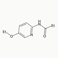 CCOc1ccc(NC(=O)CC)nc1